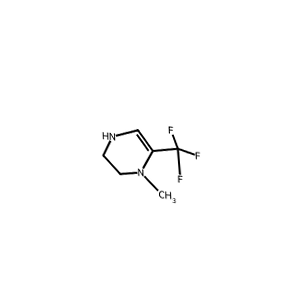 CN1CCNC=C1C(F)(F)F